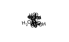 O.O=C(N[C@@H](Cc1c[nH]cn1)C(=O)N[C@@H](CC1CCCCC1)[C@@H](O)C(=O)O)[C@@H](CC(=O)N1CCOCC1)Cc1cccc2ccccc12.O=C(O)/C=C/c1ccccc1